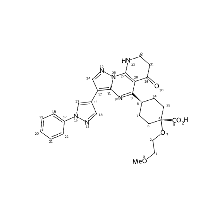 COCCO[C@]1(C(=O)O)CC[C@@H](c2nc3c(-c4cnn(-c5ccccc5)c4)cnn3c3c2C(=O)CCN3)CC1